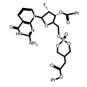 CC(C)OC(=O)CC1COP(=O)(OCC2OC(N3C=C=Cc4c3nc(N)[nH]c4=O)[C@H](F)[C@@H]2OC(=O)C(C)C)OC1